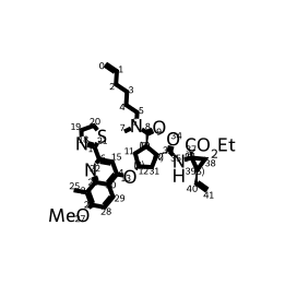 C=CCCCCN(C)C(=O)[C@@H]1C[C@H](Oc2cc(C3=NCCS3)nc3c(C)c(OC)ccc23)C[C@H]1C(=O)N[C@]1(C(=O)OCC)C[C@H]1C=C